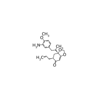 C=CC[C@H]1C[C@]2(C(C)Cc3ccc(OC)c(N)c3)OCOC2=CC1=O